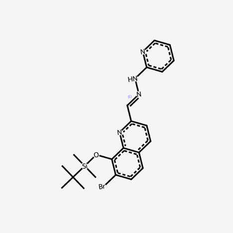 CC(C)(C)[Si](C)(C)Oc1c(Br)ccc2ccc(/C=N/Nc3ccccn3)nc12